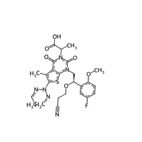 C=NN(/N=C\C)c1sc2c(c1C)c(=O)n(C(C)C(=O)O)c(=O)n2C[C@H](OCCC#N)c1cc(F)ccc1OC